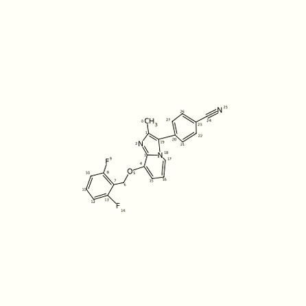 Cc1nc2c(OCc3c(F)cccc3F)cccn2c1-c1ccc(C#N)cc1